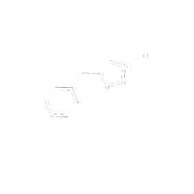 On1cc(Cc2ccccc2)nn1